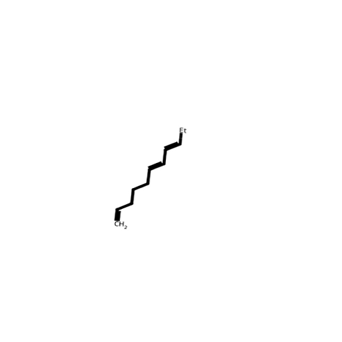 [CH2]CC=CC=CCCCC=C